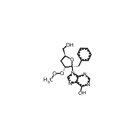 COO[C@@H]1C[C@@H](CO)O[C@@]1(Cc1ccccc1)n1cnc2c(O)ncnc21